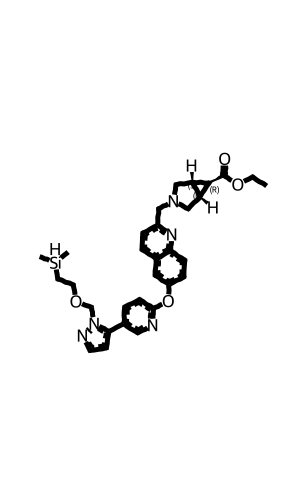 CCOC(=O)[C@H]1[C@@H]2CN(Cc3ccc4cc(Oc5ccc(-c6ccnn6COCC[SiH](C)C)cn5)ccc4n3)C[C@@H]21